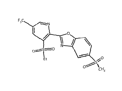 CCS(=O)(=O)c1cc(C(F)(F)F)cnc1-c1nc2cc(S(C)(=O)=O)ccc2o1